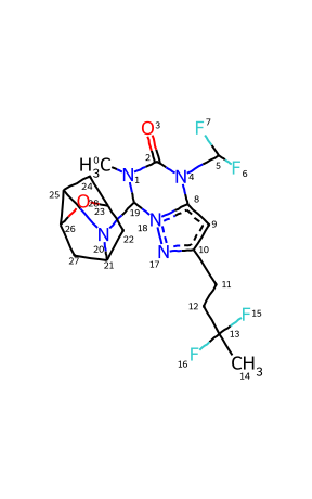 CN1C(=O)N(C(F)F)c2cc(CCC(C)(F)F)nn2C1N1C2CC3CC1C(C2)O3